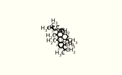 C=C(C1=C2CC(C)(C)CC[C@@]23CCC(C)[C@@](CC=C(C)C)(C1=C)C3=C)c1ccc(C(=C)C)c(C)c1